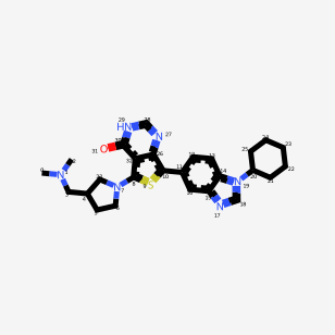 CN(C)CC1CCN(c2sc(-c3ccc4c(c3)ncn4C3CCCCC3)c3nc[nH]c(=O)c23)C1